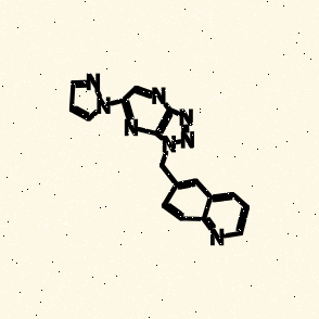 c1cnc2ccc(Cn3nnc4ncc(-n5cccn5)nc43)cc2c1